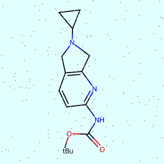 CC(C)(C)OC(=O)Nc1ccc2c(n1)CN(C1CC1)C2